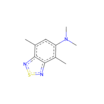 Cc1cc(N(C)C)c(C)c2nsnc12